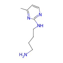 Cc1ccnc(NCCCCN)n1